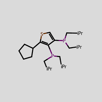 CC(C)CP(CC(C)C)c1csc(C2CCCC2)c1P(CC(C)C)CC(C)C